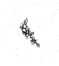 COC[C@@]1(C)CC[C@]2(C)C3CC[C@]4(C)[C@@H](C(=O)CCn5cc(C#N)cn5)CC[C@H]4[C@@H]3CC[C@@H]2C1